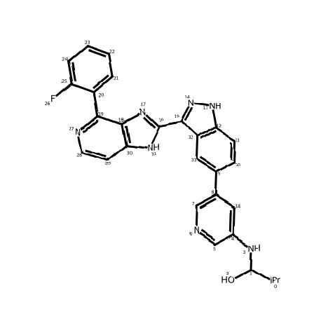 CC(C)C(O)Nc1cncc(-c2ccc3[nH]nc(-c4nc5c(-c6ccccc6F)nccc5[nH]4)c3c2)c1